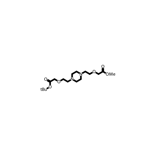 COC(=O)COCCN1CCN(CCOCC(=O)OC(C)(C)C)CC1